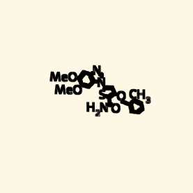 COc1cc2ncn(-c3cc(OCc4ccccc4C)c(C(N)=O)s3)c2cc1OC